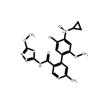 COc1nnc(NC(=O)c2cnc(C)cc2-c2cc(Cl)c([S@@+]([O-])C3CC3)cc2OC)s1